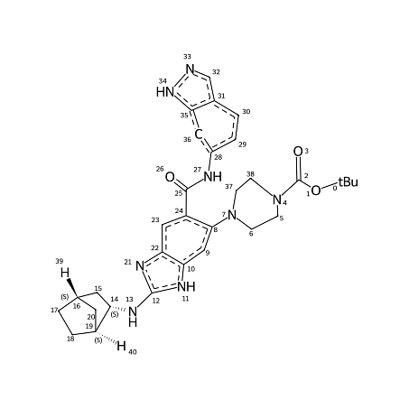 CC(C)(C)OC(=O)N1CCN(c2cc3[nH]c(N[C@H]4C[C@H]5CC[C@H]4C5)nc3cc2C(=O)Nc2ccc3cn[nH]c3c2)CC1